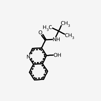 CC(C)(C)NC(=O)c1cnc2ccccc2c1O